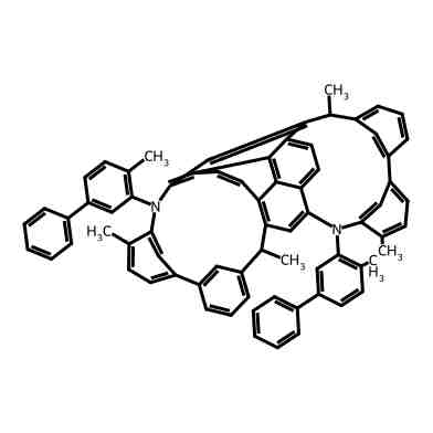 Cc1ccc(-c2ccccc2)cc1N1c2cc(ccc2C)-c2cccc(c2)C(C)c2cc3c4ccc5c(cc1c1ccc2c4c51)C(C)c1cccc(c1)-c1ccc(C)c(c1)N3c1cc(-c2ccccc2)ccc1C